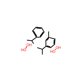 CC(C)c1ccccc1.Cc1cccc(C(C)C)c1.OO.OO